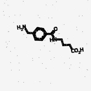 NCc1ccc(C(=O)NCCCC(=O)O)cc1